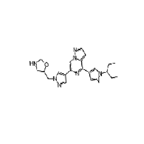 CCC(CC)n1cc(-c2nc(-c3cnn(CC4CNCO4)c3)cn3nccc23)cn1